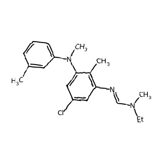 CCN(C)C=Nc1cc(Cl)cc(N(C)c2cccc(C)c2)c1C